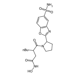 CCCCC(CC(=O)NO)C(=O)N1CCCC1c1nc2cc(S(N)(=O)=O)ccc2o1